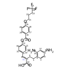 Nc1ccc(CC/C(=C\c2ccc(OC(=O)c3ccc(OCCCC(F)(F)F)cc3)cc2)C(=O)O)c(N)c1